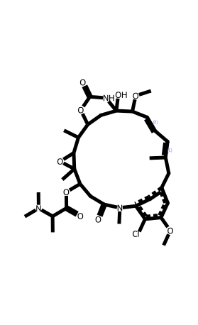 COc1cc2cc(c1Cl)N(C)C(=O)CC(OC(=O)C(C)N(C)C)C1(C)OC1C(C)C1CC(O)(NC(=O)O1)C(OC)/C=C/C=C(\C)C2